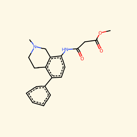 COC(=O)CC(=O)Nc1ccc(-c2ccccc2)c2c1CN(C)CC2